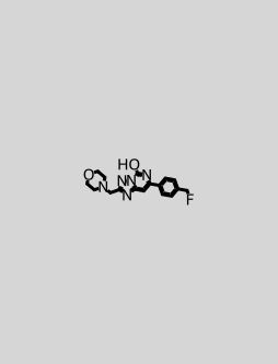 Oc1nc(-c2ccc(CF)cc2)cc2nc(CN3CCOCC3)nn12